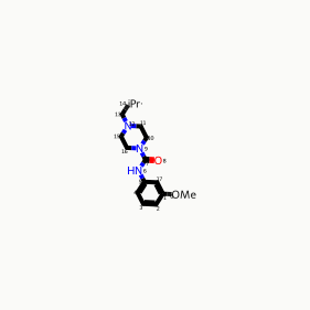 COc1cccc(NC(=O)N2CCN(C[C](C)C)CC2)c1